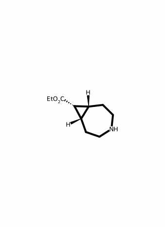 CCOC(=O)[C@@H]1[C@@H]2CCNCC[C@@H]21